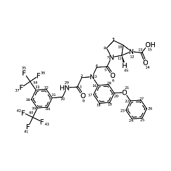 O=C(CN(CC(=O)N1CCC2[C@@H]1N2C(=O)O)c1cccc(Oc2ccccc2)c1)NCc1cc(C(F)(F)F)cc(C(F)(F)F)c1